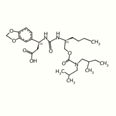 CCCC[C@@H](COC(=O)N(CC(C)C)CC(C)CC)NC(=O)N[C@@H](CC(=O)O)c1ccc2c(c1)OCO2